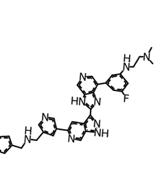 CN(C)CCNc1cc(F)cc(-c2cncc3[nH]c(-c4n[nH]c5cnc(-c6cncc(CNCc7ccccc7)c6)cc45)nc23)c1